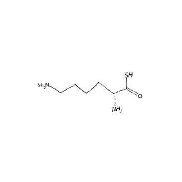 NCCCC[C@@H](N)C(=O)S